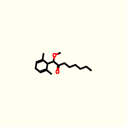 CCCCCCC(=O)C(OC)C1C(C)=CCC=C1C